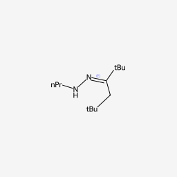 CCCN/N=C(\CC(C)(C)C)C(C)(C)C